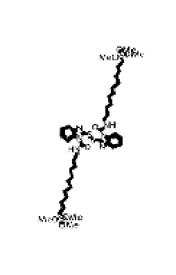 CO[Si](CCCCCCCCCCCCNC(=O)n1c(SSc2nc3ccccc3n2C(=O)NCCCCCCCCCCCC[Si](OC)(OC)OC)nc2ccccc21)(OC)OC